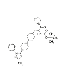 Cc1cc(N2CCN(C3CCC(CC(NC(=O)OC(C)(C)C)C(=O)N4CCSC4)CC3)CC2)n(-c2ccccc2)n1